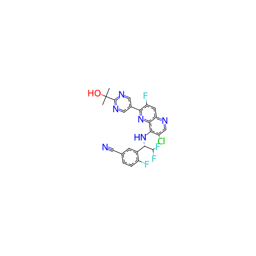 CC(C)(O)c1ncc(-c2nc3c(N[C@@H](c4cc(C#N)ccc4F)C(F)F)c(Cl)cnc3cc2F)cn1